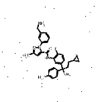 Cc1ccc(C(N)(CCC2CC2)c2ccc(F)c(NC(=O)c3cc(C)nn3-c3cccc(CN)c3)c2)cc1